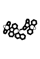 c1ccc2c(c1)Oc1ccccc1C21c2ccccc2-c2cc(N(c3cccc4c3-c3ccccc3C43c4ccccc4Oc4ccccc43)c3cccc4ccccc34)ccc21